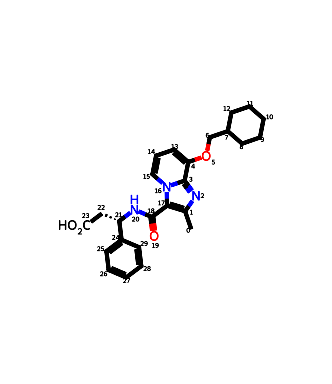 Cc1nc2c(OCC3CCCCC3)cccn2c1C(=O)N[C@@H](CC(=O)O)c1ccccc1